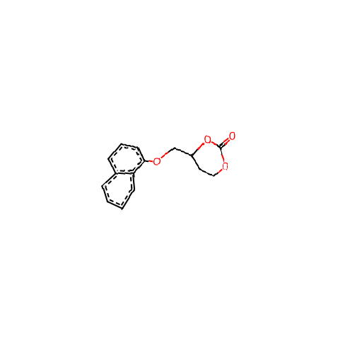 O=C1OCCC(COc2cccc3ccccc23)O1